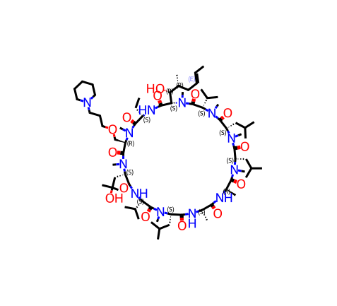 C/C=C/C[C@@H](C)[C@@H](O)[C@H]1C(=O)N[C@@H](CC)C(=O)N(C)[C@H](COCCCN2CCCCC2)C(=O)N(C)[C@@H](CC(C)(C)O)C(=O)N[C@@H](C(C)C)C(=O)N(C)[C@@H](CC(C)C)C(=O)N[C@@H](C)C(=O)N[C@H](C)C(=O)N(C)[C@@H](CC(C)C)C(=O)N(C)[C@@H](CC(C)C)C(=O)N(C)[C@@H](C(C)C)C(=O)N1C